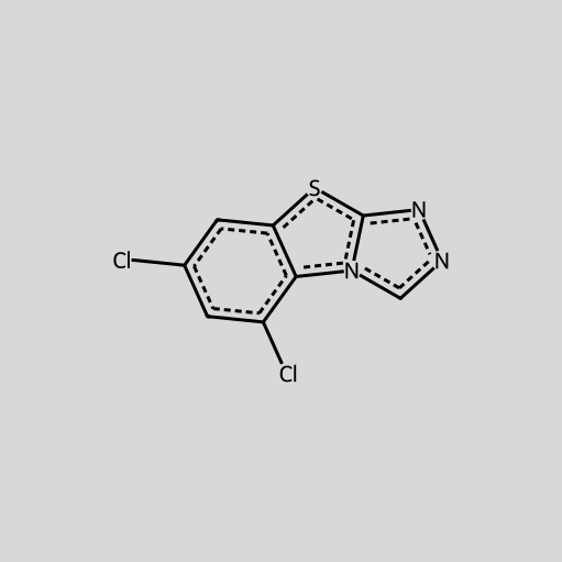 Clc1cc(Cl)c2c(c1)sc1nncn12